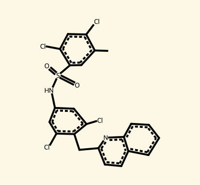 Cc1cc(S(=O)(=O)Nc2cc(Cl)c(Cc3ccc4ccccc4n3)c(Cl)c2)c(Cl)cc1Cl